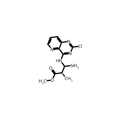 COC(=O)[C@H](C)C([SiH3])Nc1nc(Cl)nc2cccnc12